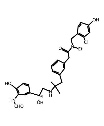 CCN(Cc1ccc(O)cc1Cl)C(=O)Cc1cccc(CC(C)(C)NC[C@H](O)c2ccc(O)c(NC=O)c2)c1